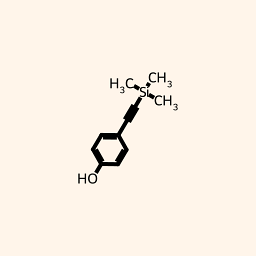 C[Si](C)(C)C#Cc1ccc(O)cc1